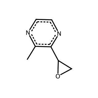 Cc1nccnc1C1CO1